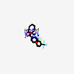 Cn1nc2c(c1-c1cccc(Cl)c1)C[C@H]1CCC[C@@H]2N1C(=O)c1ncn(-c2cccc(C(F)(F)F)c2)n1